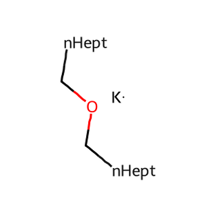 CCCCCCCCOCCCCCCCC.[K]